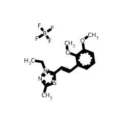 CC[n+]1nc(C)sc1/C=C/c1cccc(OC)c1OC.F[B-](F)(F)F